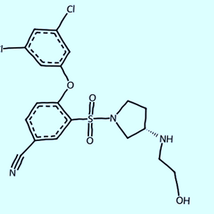 N#Cc1ccc(Oc2cc(Cl)cc(Cl)c2)c(S(=O)(=O)N2CC[C@H](NCCO)C2)c1